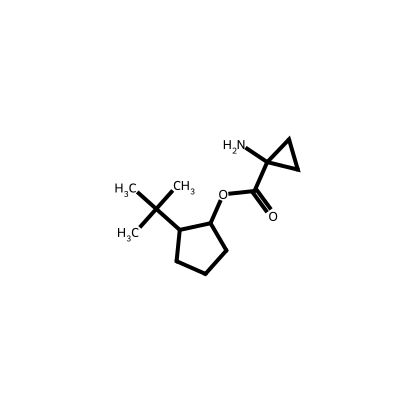 CC(C)(C)C1CCCC1OC(=O)C1(N)CC1